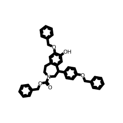 O=C(OCc1ccccc1)N1CCc2cc(OCc3ccccc3)c(O)cc2C(c2ccc(OCc3ccccc3)cc2)C1